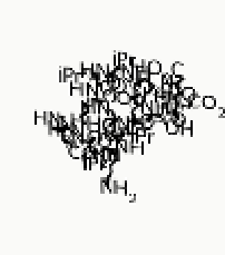 CC(C)C[C@H](NC(=O)[C@H](CCCCN)NC(=O)[C@@H](NC(=O)CNC(=O)[C@H](CCCCN)NC(=O)[C@H](CC(C)C)NC(=O)[C@@H](NC(=O)[C@@H]1CCCN1C(=O)[C@H](CCC(=O)O)NC(=O)[C@H](CO)NC(=O)[C@H](CC(=O)O)NC(=O)[C@@H](N)CC(=O)O)C(C)C)C(C)C)C(=O)N[C@@H](Cc1c[nH]cn1)C(=O)O